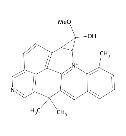 COC1(O)C2c3ccc4cncc5c4c3-c3c(cc4cccc(C)c4[n+]3C21)C5(C)C